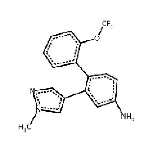 Cn1cc(-c2cc(N)ccc2-c2ccccc2OC(F)(F)F)cn1